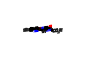 CC(C)[C@@H](COc1ccc(-c2ccc(C(C)(C)C)cc2)nn1)Nc1ccc(C(=O)NCCC(=O)O)cc1